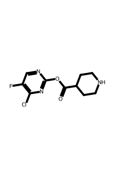 O=C(Oc1ncc(F)c(Cl)n1)C1CCNCC1